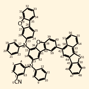 N#Cc1cccc(N(c2ccccc2)c2cc(N(c3ccccc3)c3ccc4c(c3)oc3ccccc34)c3oc4ccc(-c5cc6c7ccccc7sc6c6ccccc56)cc4c3c2)c1